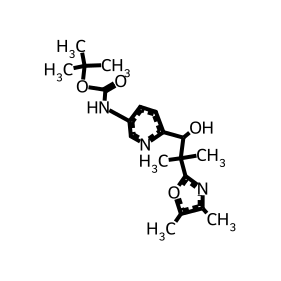 Cc1nc(C(C)(C)C(O)c2ccc(NC(=O)OC(C)(C)C)cn2)oc1C